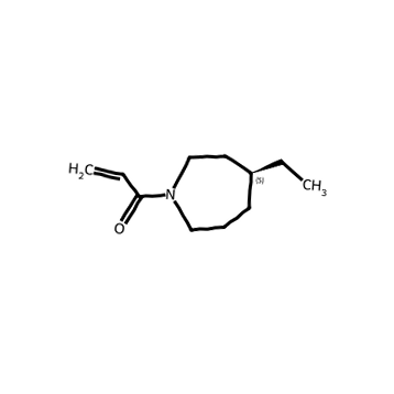 C=CC(=O)N1CCC[C@H](CC)CC1